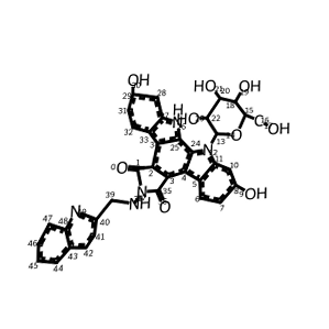 O=C1c2c(c3c4ccc(O)cc4n(C4OC(CO)C(O)C(O)C4O)c3c3[nH]c4cc(O)ccc4c23)C(=O)N1NCc1ccc2ccccc2n1